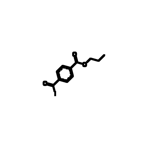 CCCOC(=O)c1ccc(C(=O)I)cc1